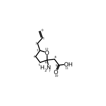 C=CCC1CCC(N)(CC(=O)O)O1